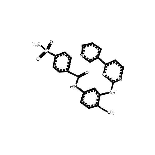 Cc1ccc(NC(=O)c2ccc(S(C)(=O)=O)cc2)cc1Nc1nccc(-c2cccnc2)n1